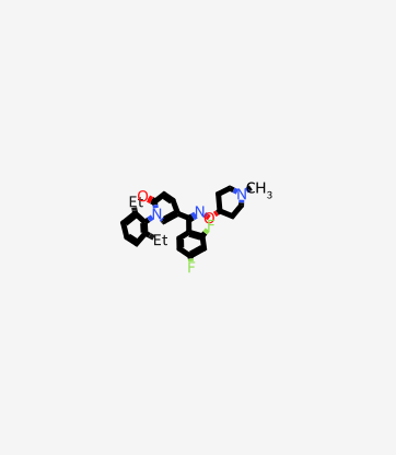 CCc1cccc(CC)c1-n1cc(C(=NOC2CCN(C)CC2)c2ccc(F)cc2F)ccc1=O